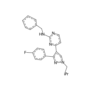 CC(C)Cn1cc(-c2ccnc(NCc3ccccc3)n2)c(-c2ccc(F)cc2)n1